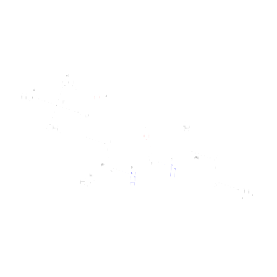 [3H][C@H](CCC)NC(=O)N[C@H](C)CCC(=O)C(C)(C)C